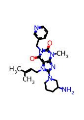 CC(C)=CCn1c(N2CCCC(N)C2)nc2c1c(=O)n(Cc1cccnc1)c(=O)n2C